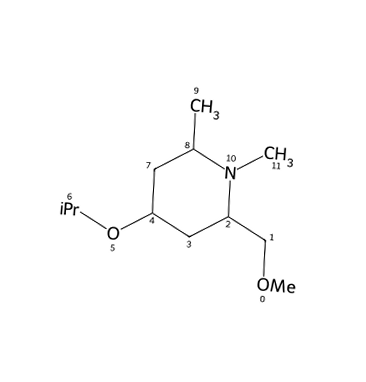 COCC1CC(OC(C)C)CC(C)N1C